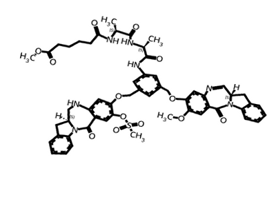 COC(=O)CCCCC(=O)N[C@@H](C)C(=O)N[C@@H](C)C(=O)Nc1cc(COc2cc3c(cc2OC)C(=O)N2c4ccccc4C[C@H]2C=N3)cc(COc2cc3c(cc2OS(C)(=O)=O)C(=O)N2c4ccccc4C[C@H]2CN3)c1